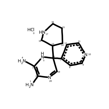 Cl.NC1=C(N)NC(c2ccncc2)(C2CCCNC2)C=N1